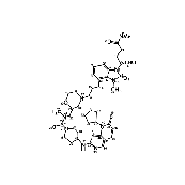 CNC(=O)CCC(C=O)n1c(=O)n(C)c2c(CCCN3CCOC(CN(C)[S+]([O-])N4CCC(Nc5ncc6ccc(=O)n(C7CCCC7)c6n5)CC4)C3)cccc21